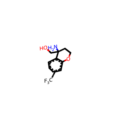 NC1(CO)CCOc2cc(C(F)(F)F)ccc21